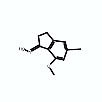 COc1cc(C)cc2c1C(=NO)CC2